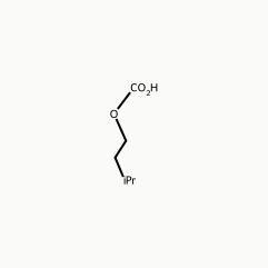 CC(C)CCOC(=O)O